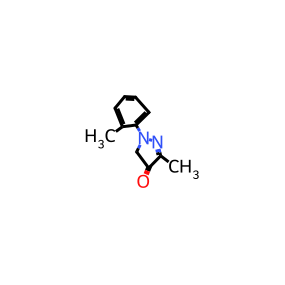 CC1=NN(c2ccccc2C)CC1=O